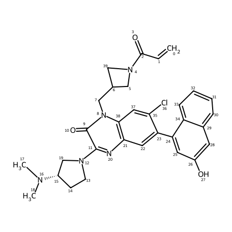 C=CC(=O)N1CC(Cn2c(=O)c(N3CC[C@H](N(C)C)C3)nc3cc(-c4cc(O)cc5ccccc45)c(Cl)cc32)C1